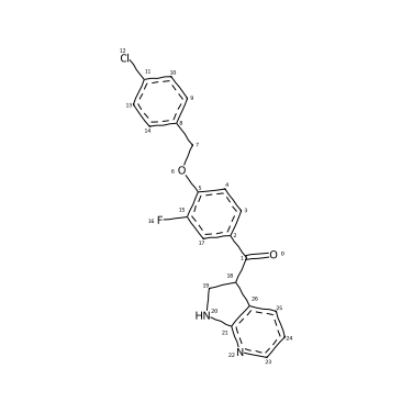 O=C(c1ccc(OCc2ccc(Cl)cc2)c(F)c1)C1CNc2ncccc21